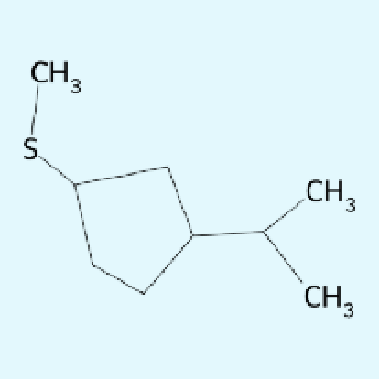 CSC1CCC(C(C)C)C1